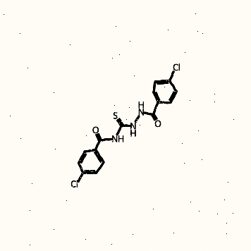 O=C(NNC(=S)NC(=O)c1ccc(Cl)cc1)c1ccc(Cl)cc1